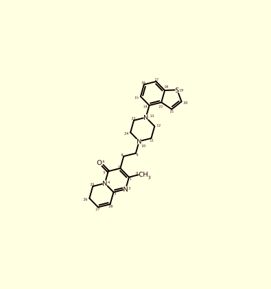 Cc1nc2n(c(=O)c1CCN1CCN(c3cccc4sccc34)CC1)CCC=C2